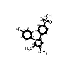 Cc1cc(-c2ccc(S(C)(=O)=O)cc2)n(-c2ccc(F)cc2)c1C